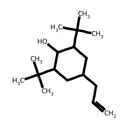 C=CCC1CC(C(C)(C)C)C(O)C(C(C)(C)C)C1